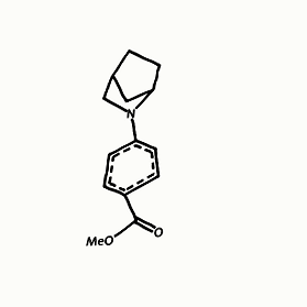 COC(=O)c1ccc(N2CC3CCC2C3)cc1